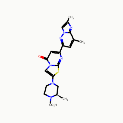 Cc1cn2nc(-c3cc(=O)n4cc(N5CCN(C(=O)O)[C@H](C)C5)sc4n3)cc(C)c2n1